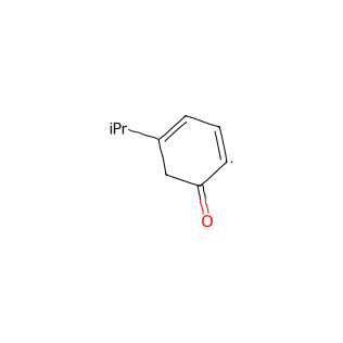 CC(C)C1=CC=[C]C(=O)C1